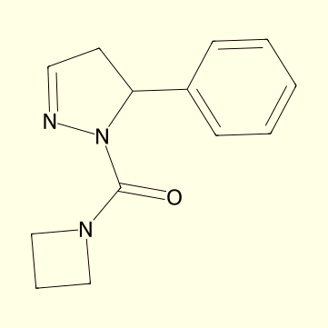 O=C(N1CCC1)N1N=CCC1c1ccccc1